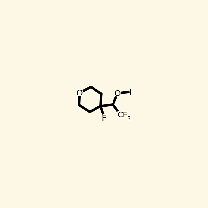 FC(F)(F)C(OI)C1(F)CCOCC1